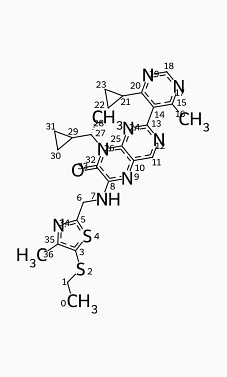 CCSc1sc(CNc2nc3cnc(-c4c(C)ncnc4C4CC4)nc3n([C@@H](C)C3CC3)c2=O)nc1C